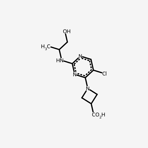 CC(CO)Nc1ncc(Cl)c(N2CC(C(=O)O)C2)n1